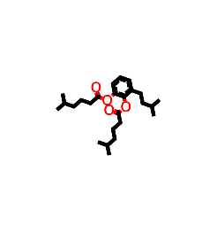 CC(C)CCCC(=O)Oc1cccc(CCC(C)C)c1OC(=O)CCCC(C)C